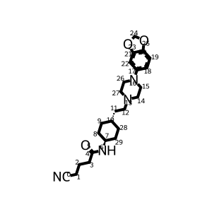 N#CCCCC(=O)N[C@H]1CC[C@H](CCN2CCN(c3ccc4c(c3)OCO4)CC2)CC1